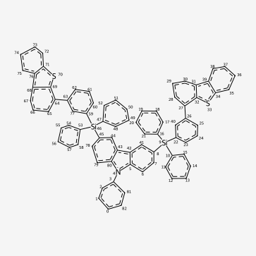 c1ccc(-n2c3ccc([Si](c4ccccc4)(c4ccccc4)c4cccc(-c5cccc6c5sc5ccccc56)c4)cc3c3cc([Si](c4ccccc4)(c4ccccc4)c4cccc(-c5cccc6c5sc5ccccc56)c4)ccc32)cc1